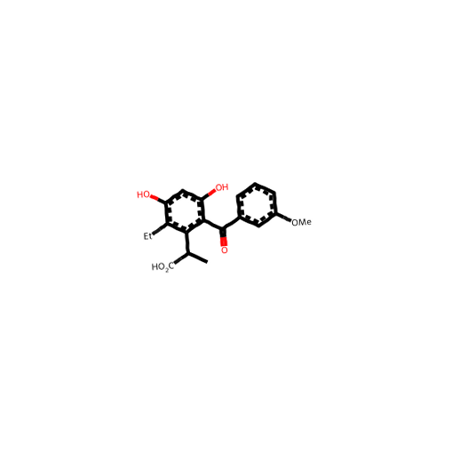 CCc1c(O)cc(O)c(C(=O)c2cccc(OC)c2)c1C(C)C(=O)O